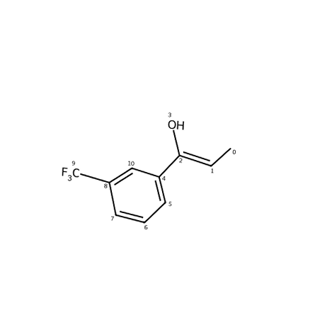 CC=C(O)c1cccc(C(F)(F)F)c1